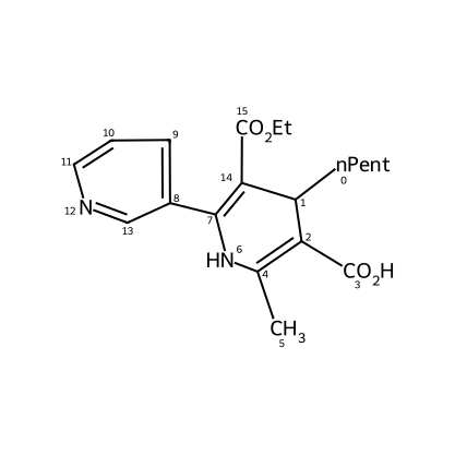 CCCCCC1C(C(=O)O)=C(C)NC(c2cccnc2)=C1C(=O)OCC